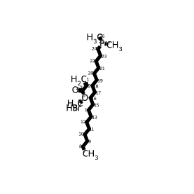 Br.C=CC(=O)OC.CCCCCCCCCCCCCCCCCCP(C)C